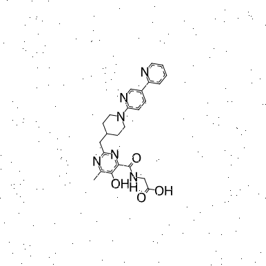 Cc1nc(CC2CCN(c3ccc(-c4ccccn4)cn3)CC2)nc(C(=O)NCC(=O)O)c1O